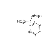 CCCCCCCCS(=O)(=O)O.c1ccncc1